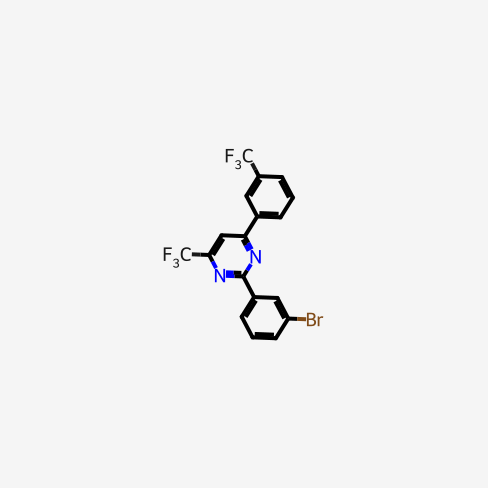 FC(F)(F)c1cccc(-c2cc(C(F)(F)F)nc(-c3cccc(Br)c3)n2)c1